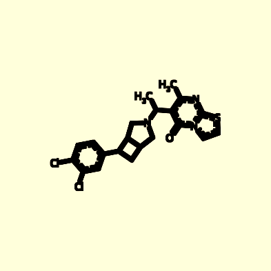 Cc1nc2sccn2c(=O)c1C(C)N1CC2CC(c3ccc(Cl)c(Cl)c3)C2C1